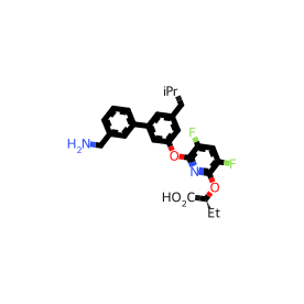 CC[C@@H](Oc1nc(Oc2cc(CC(C)C)cc(-c3cccc(CN)c3)c2)c(F)cc1F)C(=O)O